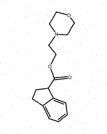 O=C(OCCN1CCOCC1)C1CCc2ccccc21